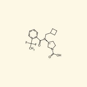 CC(F)(F)c1ccccc1C(=O)N(CC1CCC1)[C@H]1CCN(C(=O)O)C1